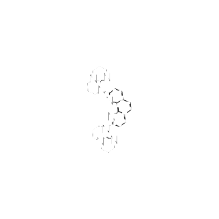 c1cc2ccc3ccc(N4CCCN5CCCN=C54)nc3c2nc1N1CCCN2CCCN=C21